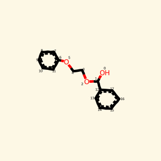 OC(OCCOc1ccccc1)c1ccccc1